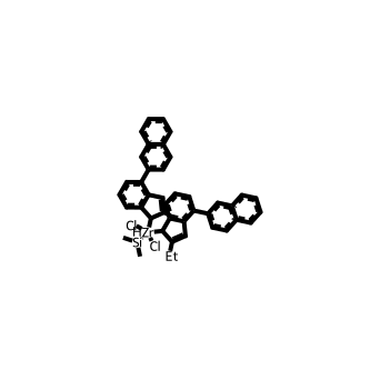 CCC1=Cc2c(-c3ccc4ccccc4c3)cccc2[CH]1[Zr]([Cl])([Cl])([CH]1C(C)=Cc2c(-c3ccc4ccccc4c3)cccc21)[SiH](C)C